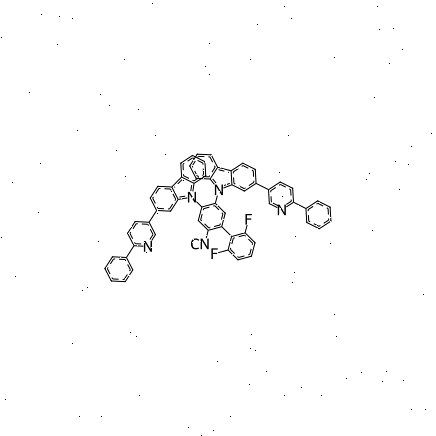 N#Cc1cc(-n2c3ccccc3c3ccc(-c4ccc(-c5ccccc5)nc4)cc32)c(-n2c3ccccc3c3ccc(-c4ccc(-c5ccccc5)nc4)cc32)cc1-c1c(F)cccc1F